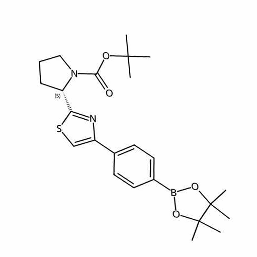 CC(C)(C)OC(=O)N1CCC[C@H]1c1nc(-c2ccc(B3OC(C)(C)C(C)(C)O3)cc2)cs1